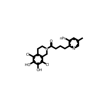 CCCc1cc(C)cnc1CCCC(=O)N1CCc2c(Cl)c(O)c(O)c(Cl)c2C1